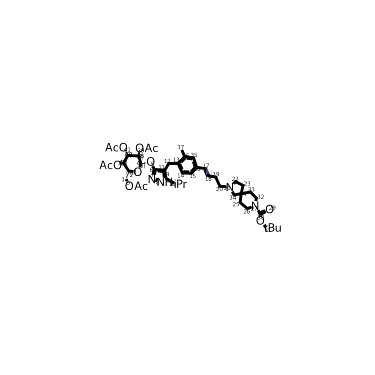 CC(=O)OC[C@H]1O[C@@H](Oc2n[nH]c(C(C)C)c2Cc2ccc(/C=C/CCN3CCC4(CCN(C(=O)OC(C)(C)C)CC4)C3)cc2C)[C@H](OC(C)=O)[C@@H](OC(C)=O)[C@@H]1OC(C)=O